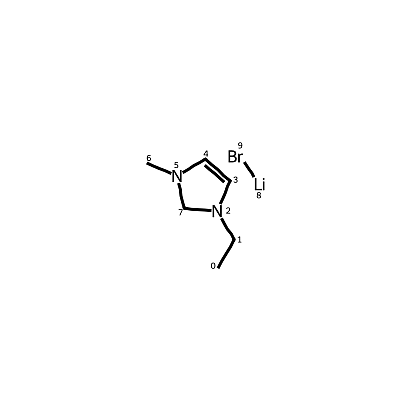 CCN1C=CN(C)C1.[Li][Br]